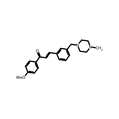 COc1ccc(C(=O)C=Cc2cccc(CN3CCN(C)CC3)c2)cc1